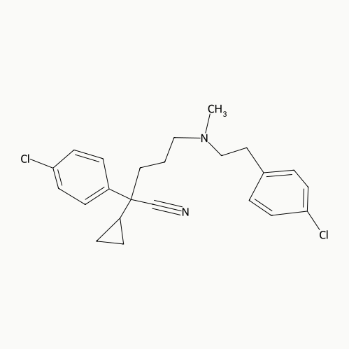 CN(CCCC(C#N)(c1ccc(Cl)cc1)C1CC1)CCc1ccc(Cl)cc1